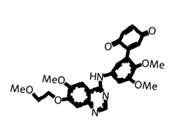 COCCOc1cc2ncnc(Nc3cc(OC)c(OC)c(C4=CC(=O)C=CC4=O)c3)c2cc1OC